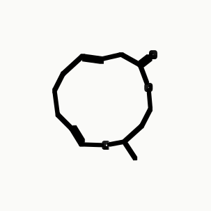 CC1C/C=C\CCC/C=C/CC(=O)OCC1